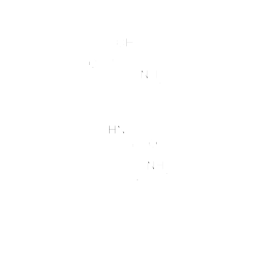 NC(CCNC(=O)CC1(N)CCCCC1)C(=O)O